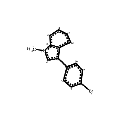 Cn1cc(-c2ccc(Br)cc2)c2ccccc21